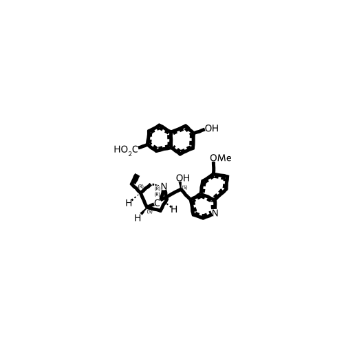 C=C[C@H]1C[N@]2CC[C@H]1C[C@@H]2[C@@H](O)c1ccnc2ccc(OC)cc12.O=C(O)c1ccc2cc(O)ccc2c1